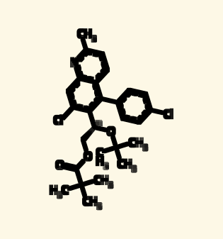 Cc1ccc2c(-c3ccc(Cl)cc3)c([C@H](COC(=O)C(C)(C)C)OC(C)(C)C)c(Cl)cc2n1